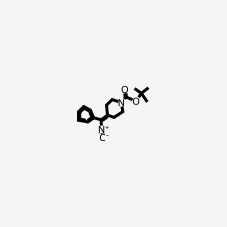 [C-]#[N+]C(=C1CCN(C(=O)OC(C)(C)C)CC1)c1ccccc1